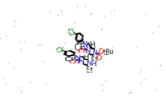 CC[C@@H]1CN2C(=O)N(c3ccc(Cl)cc3C(F)(F)F)C[C@@H]2CN1.CC[C@@H]1CN2C(=O)N(c3ccc(Cl)cc3C(F)(F)F)C[C@@H]2CN1C(=O)OC(C)(C)C